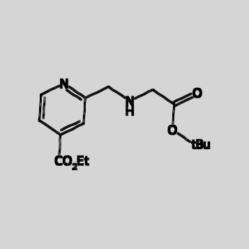 CCOC(=O)c1ccnc(CNCC(=O)OC(C)(C)C)c1